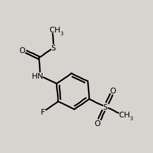 CSC(=O)Nc1ccc(S(C)(=O)=O)cc1F